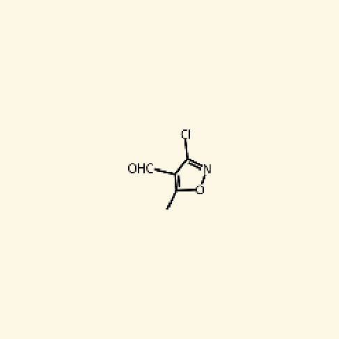 Cc1onc(Cl)c1C=O